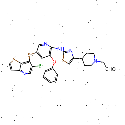 O=CCN1CCC(c2csc(Nc3ncc(Sc4c(Br)cnc5ccsc45)cc3Oc3ccccc3)n2)CC1